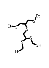 CCSCC(CSCC)SCC(SCS)SCS